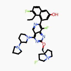 CCc1c(F)ccc2cc(O)cc(-c3ncc4c(N5CCCC(N6CCCC6)C5)nc(OC[C@@]56CCCN5C[C@H](F)C6)nc4c3F)c12